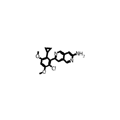 COc1cc(OC)c(C2CC2)c(-c2cc3cnc(N)cc3cn2)c1Cl